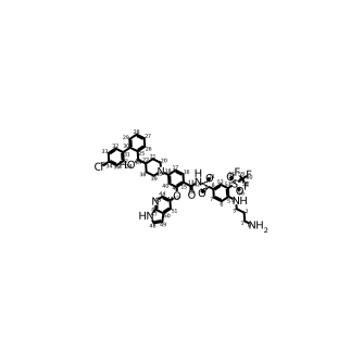 NCCCNc1ccc(S(=O)(=O)NC(=O)c2ccc(N3CCC([C@H](O)c4ccccc4-c4ccc(Cl)cc4)CC3)cc2Oc2cnc3[nH]ccc3c2)cc1S(=O)(=O)C(F)(F)F